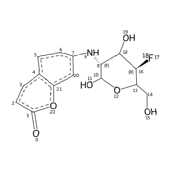 O=c1ccc2ccc(N[C@H]3C(O)OC(CO)[C@H]([18F])C3O)cc2o1